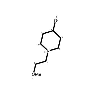 COCCN1CCC([O])CC1